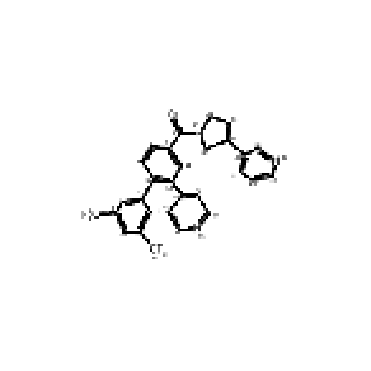 O=C(c1ccc(-c2cc(C(F)(F)F)cc(C(F)(F)F)c2)c(-c2ccncc2)c1)N1CCC(c2cccnc2)C1